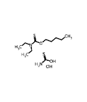 CCCCCOC(=S)N(CC)CC.Cl.NC(O)=S